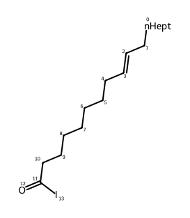 CCCCCCCCC=CCCCCCCCC(=O)I